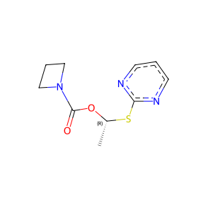 C[C@H](OC(=O)N1CCC1)Sc1ncccn1